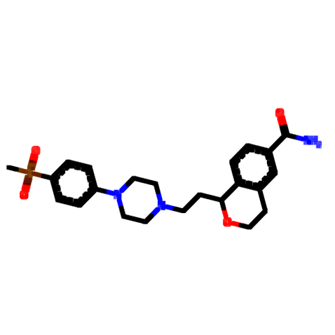 CS(=O)(=O)c1ccc(N2CCN(CCC3OCCc4cc(C(N)=O)ccc43)CC2)cc1